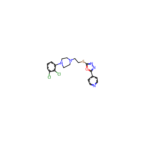 Clc1cccc(N2CCN(CCSc3nnc(-c4ccncc4)o3)CC2)c1Cl